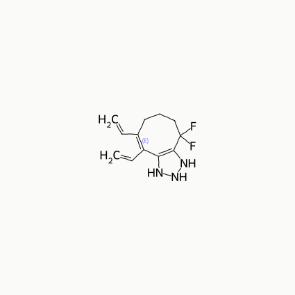 C=C/C1=C(\C=C)C2=C(NNN2)C(F)(F)CCC1